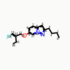 CCCCc1cc2ccc(OC/C(=C/F)CC)cn2n1